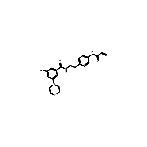 C=CC(=O)Nc1ccc(CCNC(=O)c2cc(Cl)nc(N3CCOCC3)c2)cc1